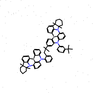 CC(C)(C)c1cccc(N2c3cc(C(C)(C)Cc4ccccc4N4c5ccccc5B5c6cccc7c6N(c6cccc4c65)C4(C)CCCCC74C)ccc3B3c4cccc5c4N(c4cccc2c43)C2(C)CCCCC52C)c1